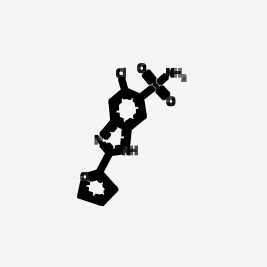 NS(=O)(=O)c1cc2[nH]c(-c3ccco3)nc2cc1Cl